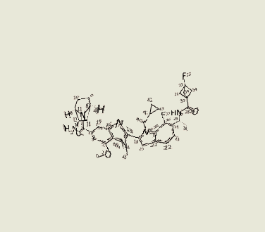 COc1cc(C(=O)N2[C@H]3CC[C@@H]2[C@H](N)C3)cc2nc(-c3cc4ccc([C@@H](C)NC(=O)C56CC(F)(C5)C6)c(F)c4n3CC3CC3)n(C)c12